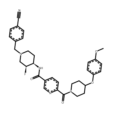 COc1ccc(OC2CCN(C(=O)c3ccc(C(=O)N[C@@H]4CCN(Cc5ccc(C#N)cc5)C[C@@H]4F)cn3)CC2)cc1